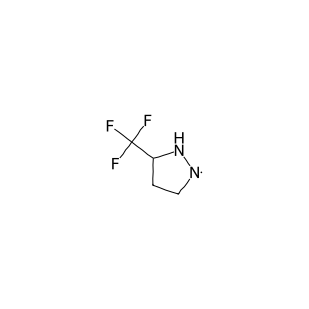 FC(F)(F)C1CC[N]N1